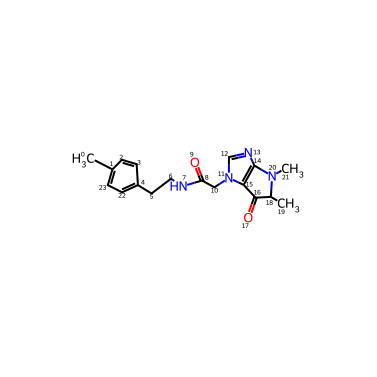 Cc1ccc(CCNC(=O)Cn2cnc3c2C(=O)C(C)N3C)cc1